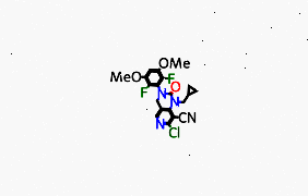 COc1cc(OC)c(F)c(N2Cc3cnc(Cl)c(C#N)c3N(CC3CC3)C2=O)c1F